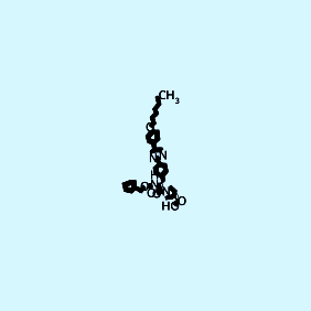 CCCCCCCOc1ccc(-c2cnc(-c3ccc(C[C@H](NC(=O)OCc4ccccc4)C(=O)N4CC[C@H](C(=O)O)C4)cc3)nc2)cc1